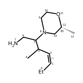 CC/C=C\C(C)C(CN)N1CCO[C@H](C)C1